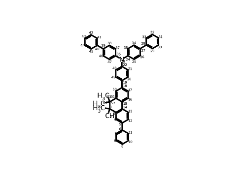 CC1(C)c2cc(-c3ccccc3)ccc2-c2ccc(-c3ccc(N(c4ccc(-c5ccccc5)cc4)c4ccc(-c5ccccc5)cc4)cc3)cc2C1(C)C